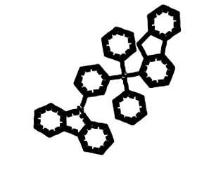 c1ccc(S(c2ccccc2)(c2cccc(-n3c4ccccc4c4ccccc43)c2)c2cccc3c2Cc2ccccc2-3)cc1